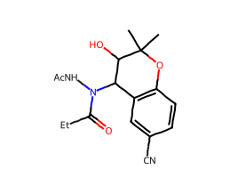 CCC(=O)N(NC(C)=O)C1c2cc(C#N)ccc2OC(C)(C)C1O